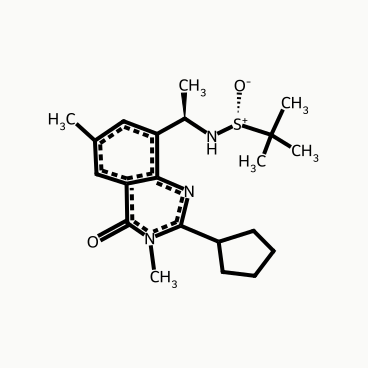 Cc1cc([C@@H](C)N[S@+]([O-])C(C)(C)C)c2nc(C3CCCC3)n(C)c(=O)c2c1